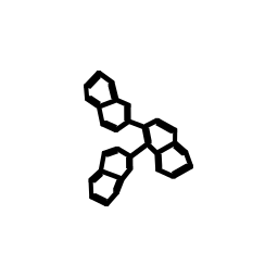 c1ccc2cc(-c3ccc4ccccc4c3-c3ccc4ccccc4c3)ccc2c1